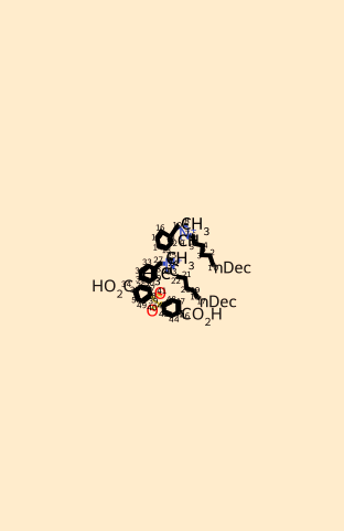 CCCCCCCCCCCCCCCC[N+](C)(C)Cc1ccccc1.CCCCCCCCCCCCCCCC[N+](C)(C)Cc1ccccc1.O=C(O)c1ccc(S(=O)(=O)c2ccc(C(=O)O)cc2)cc1